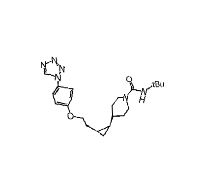 CC(C)(C)NC(=O)N1CCC([C@H]2C[C@H]2CCOc2ccc(-n3cnnn3)cc2)CC1